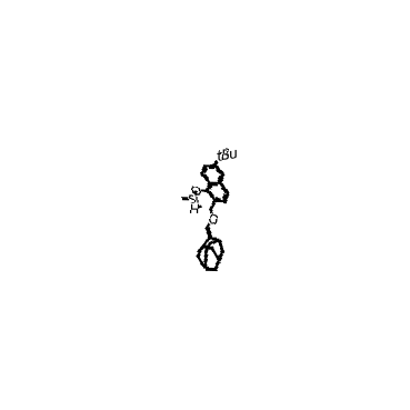 C[SiH](C)Oc1c(COC=C2C3CC4CC(C3)CC2C4)ccc2cc(C(C)(C)C)ccc12